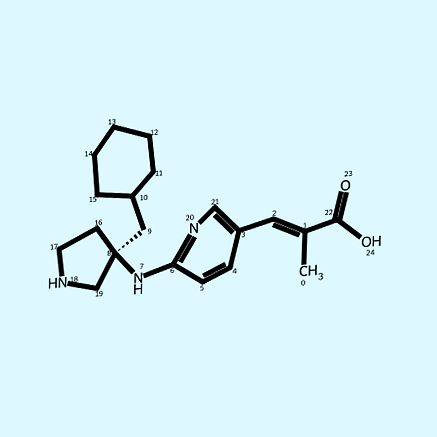 C/C(=C\c1ccc(N[C@]2(CC3CCCCC3)CCNC2)nc1)C(=O)O